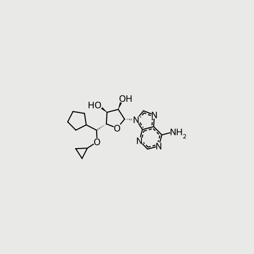 Nc1ncnc2c1ncn2[C@@H]1O[C@H](C(OC2CC2)C2CCCC2)[C@@H](O)[C@H]1O